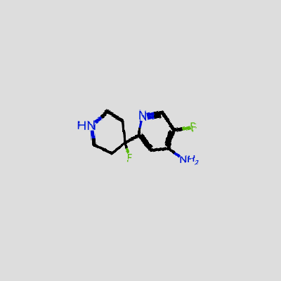 Nc1cc(C2(F)CCNCC2)ncc1F